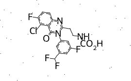 O=C(O)NCCc1nc2ccc(F)c(Cl)c2c(=O)n1-c1cc(F)cc(C(F)F)c1